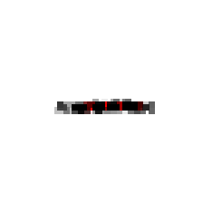 CC(=O)OCCCOCCCOCCCOCCCOCCCOCCCOC(C)=O